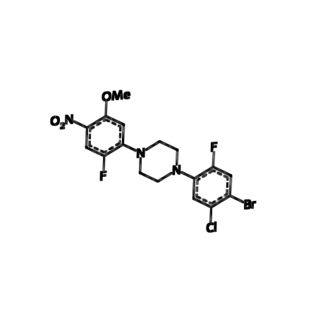 COc1cc(N2CCN(c3cc(Cl)c(Br)cc3F)CC2)c(F)cc1[N+](=O)[O-]